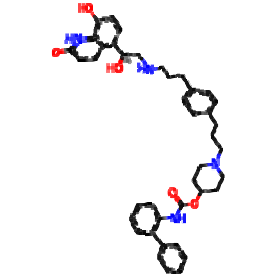 O=C(Nc1ccccc1-c1ccccc1)OC1CCN(CCCc2ccc(CCCNC[C@@H](O)c3ccc(O)c4[nH]c(=O)ccc34)cc2)CC1